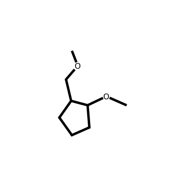 COCC1CCCC1OC